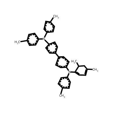 CC1=CC=C(N(c2ccc(C)cc2)c2ccc(-c3ccc(N(c4ccc(C)cc4)c4ccc(C)cc4)cc3)cc2)C(C)C1